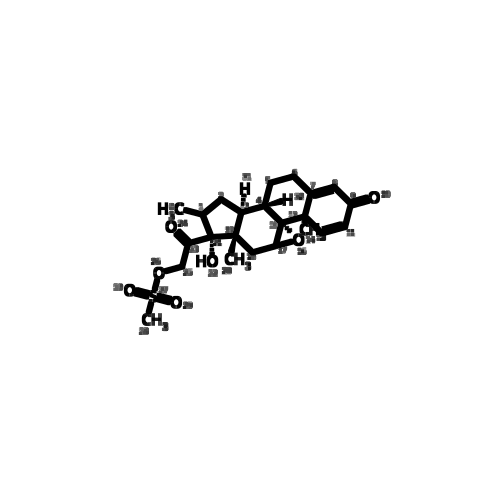 CC1C[C@H]2[C@@H]3CCC4=CC(=O)C=C[C@]4(C)[C@]34OC4C[C@]2(C)[C@@]1(O)C(=O)COS(C)(=O)=O